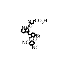 [C-]#[N+]c1cc(C#N)cc(Oc2c(Br)ccc(Cc3nn(COC(=O)CCC(=O)O)c4ncccc34)c2F)c1